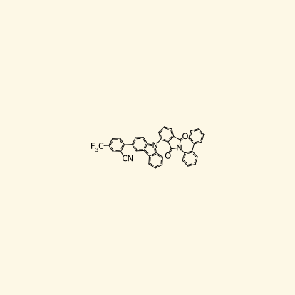 N#Cc1cc(C(F)(F)F)ccc1-c1ccc2c(c1)c1ccccc1n2-c1cccc2c1C(=O)N(c1ccccc1-c1ccccc1)C2=O